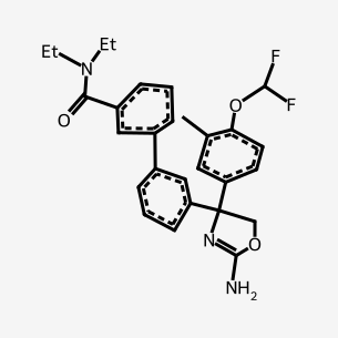 CCN(CC)C(=O)c1cccc(-c2cccc(C3(c4ccc(OC(F)F)c(C)c4)COC(N)=N3)c2)c1